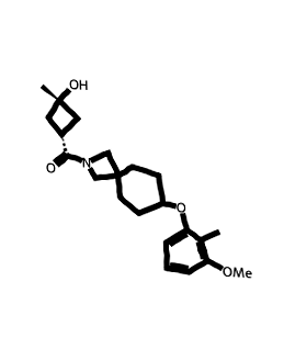 COc1cccc(OC2CCC3(CC2)CN(C(=O)[C@H]2C[C@@](C)(O)C2)C3)c1C